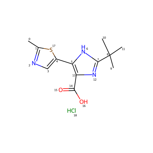 Cc1ncc(-c2[nH]c(C(C)(C)C)nc2C(=O)O)s1.Cl